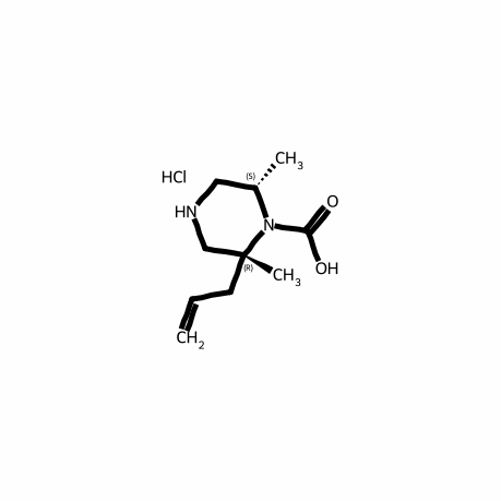 C=CC[C@]1(C)CNC[C@H](C)N1C(=O)O.Cl